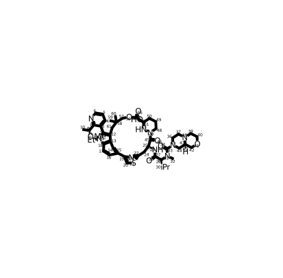 CCn1c(-c2cccnc2[C@H](C)OC)c2c3cc(ccc31)-c1csc(n1)C[C@H](NC(=O)[C@H](C(C)C)N(C)C(=O)N1CCN3CCOC[C@H]3C1)C(=O)N1CCC[C@@](O)(N1)C(=O)OCC(C)(C)C2